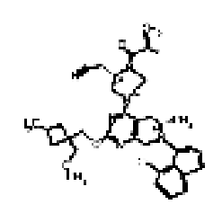 C=C(F)C(=O)N1CCN(c2nc(OCC3(COC)CC(C)C3)nc3c2C[C@H](C)N(c2cccc4cccc(Cl)c24)C3)C[C@@H]1CC#N